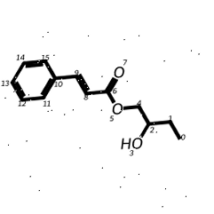 CCC(O)COC(=O)C=Cc1ccccc1